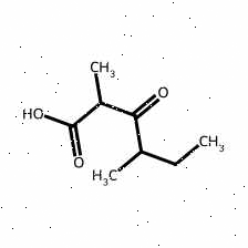 CCC(C)C(=O)C(C)C(=O)O